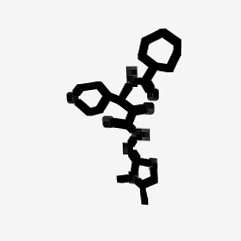 C[C@@H]1CSC(=NNC(=O)C(=O)[C@H](NC(=O)C2CCCCCC2)C2CCOCC2)N1C